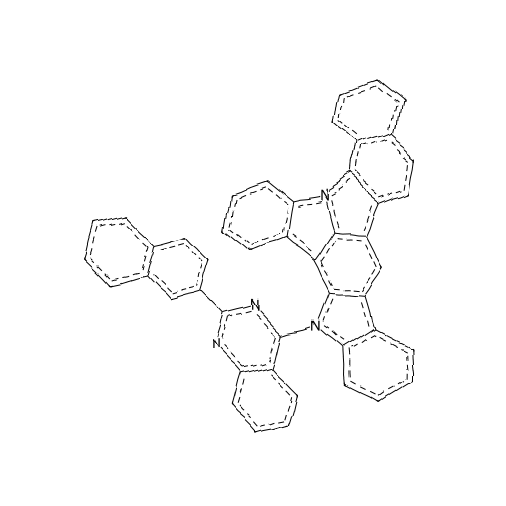 c1ccc2cc(-c3nc(-n4c5ccccc5c5cc6c7ccc8ccccc8c7n7c8ccccc8c(c54)c67)c4ccccc4n3)ccc2c1